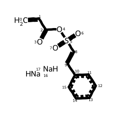 C=CC(=O)OS(=O)(=O)C=Cc1ccccc1.[NaH].[NaH]